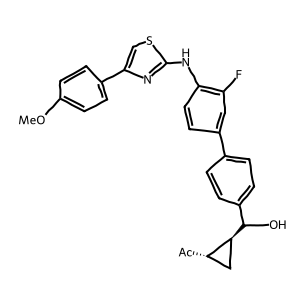 COc1ccc(-c2csc(Nc3ccc(-c4ccc(C(O)[C@H]5C[C@@H]5C(C)=O)cc4)cc3F)n2)cc1